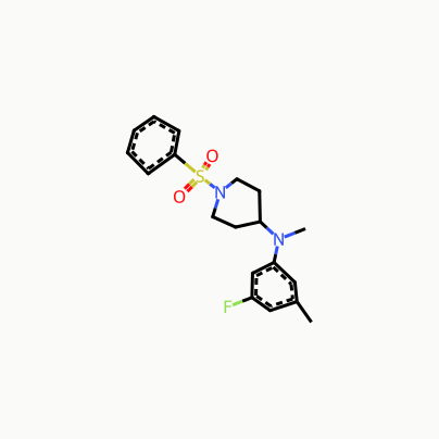 Cc1cc(F)cc(N(C)C2CCN(S(=O)(=O)c3ccccc3)CC2)c1